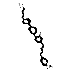 CCCCCc1ccc(C2C=CC(c3ccc(CCCCc4ccc(C)cc4)cc3F)CC2)cc1